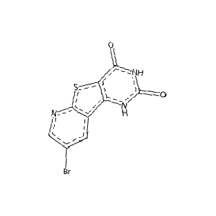 O=c1[nH]c(=O)c2sc3ncc(Br)cc3c2[nH]1